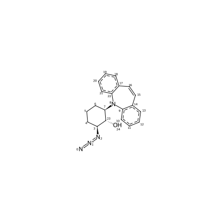 [N-]=[N+]=N[C@H]1CCC[C@@H](N2c3ccccc3C=Cc3ccccc32)[C@@H]1O